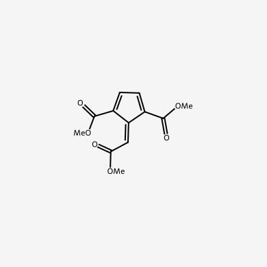 COC(=O)C=C1C(C(=O)OC)=CC=C1C(=O)OC